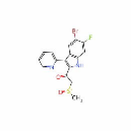 C[S+]([O-])CC(=O)c1[nH]c2cc(F)c(Br)cc2c1-c1ccccn1